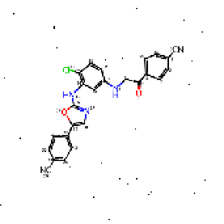 N#Cc1ccc(C(=O)CNc2ccc(Cl)c(Nc3ncc(-c4ccc(C#N)cc4)o3)c2)cc1